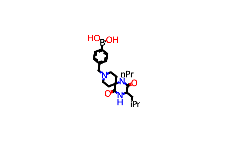 CCCN1C(=O)C(CC(C)C)NC(=O)C12CCN(Cc1ccc(B(O)O)cc1)CC2